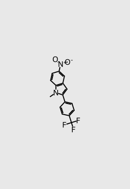 Cn1c(-c2ccc(C(F)(F)F)cc2)cc2cc([N+](=O)[O-])ccc21